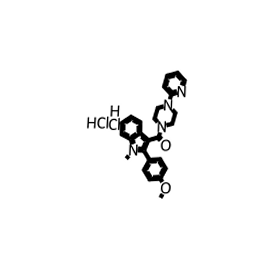 COc1ccc(-c2c(C(=O)N3CCN(c4ccccn4)CC3)c3ccccc3n2C)cc1.Cl.Cl